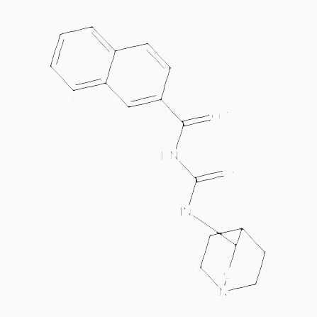 O=C(NC(=O)c1ccc2ccccc2c1)NC1CN2CCC1CC2